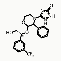 O=c1nc(N2CCOC(O[C@@H](CO)c3cccc(C(F)(F)F)c3)C2c2ccccc2)[nH][nH]1